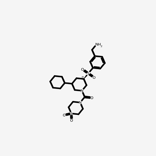 NCc1cccc(S(=O)(=O)[C@@H]2CC(C3CCCCC3)CN(C(=O)N3CCS(=O)(=O)CC3)C2)c1